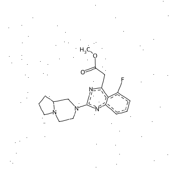 COC(=O)Cc1nc(N2CCN3CCCC3C2)nc2cccc(F)c12